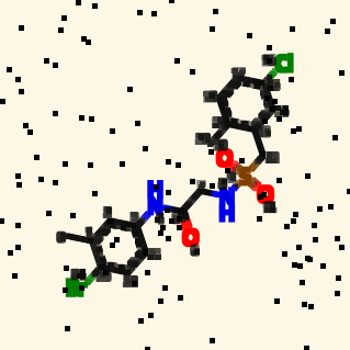 Cc1cc(NC(=O)CNS(=O)(=O)Cc2cc(Cl)ccc2C)ccc1Br